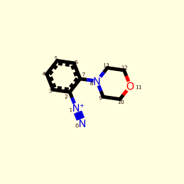 N#[N+]c1ccccc1N1CCOCC1